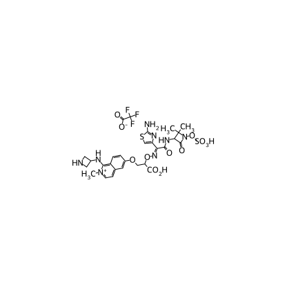 C[n+]1ccc2cc(OCC(ON=C(C(=O)NC3C(=O)N(OS(=O)(=O)O)C3(C)C)c3csc(N)n3)C(=O)O)ccc2c1NC1CNC1.O=C([O-])C(F)(F)F